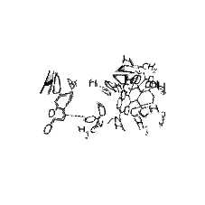 C=CC1(C)CC(=O)C2(O)C(C)(O1)C(OC(C)=O)C(OC(=O)NCCN(C)C(=O)OCc1cc(=O)oc3cc(O)c(Br)cc13)C1C(C)(C)CCC(O)C12C